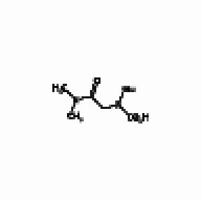 CN(C)C(=O)CN(C(=O)O)C(C)(C)C